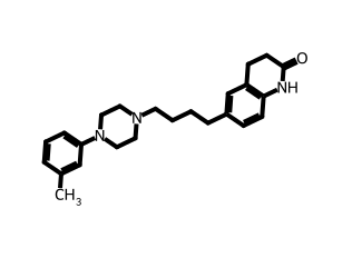 Cc1cccc(N2CCN(CCCCc3ccc4c(c3)CCC(=O)N4)CC2)c1